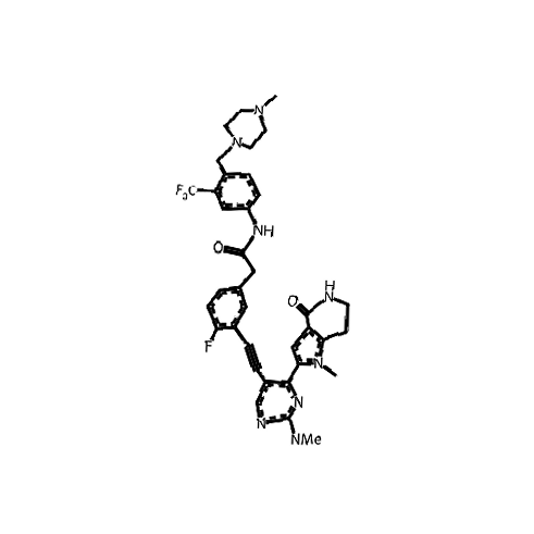 CNc1ncc(C#Cc2cc(CC(=O)Nc3ccc(CN4CCN(C)CC4)c(C(F)(F)F)c3)ccc2F)c(-c2cc3c(n2C)CCNC3=O)n1